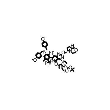 COc1ccc(CN(Cc2ccc(OC)cc2)c2cc(C)c(C(F)(F)F)c(-c3nc4c5c(nc(OC[C@@H]6CC[C@H]7COCCN76)nc5c3F)N3CCN(C(=O)OC(C)(C)C)[C@@H](CI)[C@H]3[C@H](C)O4)c2F)cc1